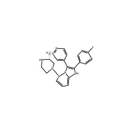 C[C@@H]1CN(N2C=CC=C3NC(c4ccc(F)cc4)=C(c4ccnnc4)N32)CCN1